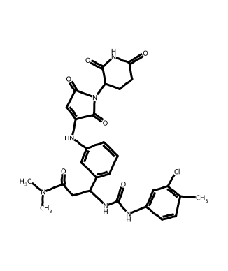 Cc1ccc(NC(=O)NC(CC(=O)N(C)C)c2cccc(NC3=CC(=O)N(C4CCC(=O)NC4=O)C3=O)c2)cc1Cl